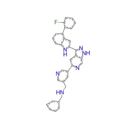 Fc1ccccc1-c1cccc2[nH]c(-c3n[nH]c4cnc(-c5cncc(CNCc6ccccc6)c5)cc34)cc12